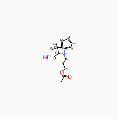 CC(=O)OCCCN1c2ccccc2C(C)(C)C1C.I